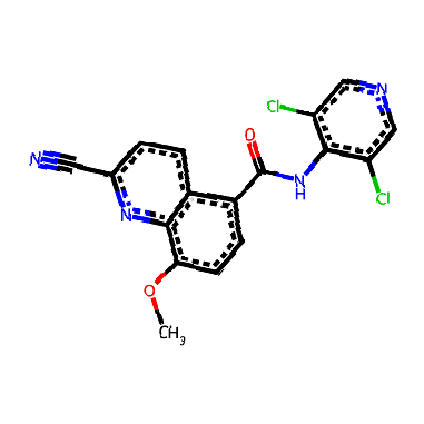 COc1ccc(C(=O)Nc2c(Cl)cncc2Cl)c2ccc(C#N)nc12